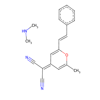 CC1=CC(=C(C#N)C#N)C=C(C=Cc2ccccc2)O1.CNC